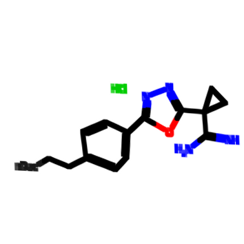 CCCCCCCCCCCCc1ccc(-c2nnc(C3(C(=N)N)CC3)o2)cc1.Cl